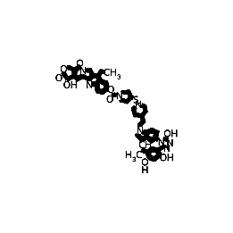 CCc1c2c(nc3ccc(OC(=O)N4CCC(SN5CCC(CCn6ccc7cc(-n8c(O)nnc8-c8cc(C(C)C)c(O)cc8O)ccc76)CC5)CC4)cc13)-c1cc3c(c(=O)n1C2)COC(=O)[C@H]3O